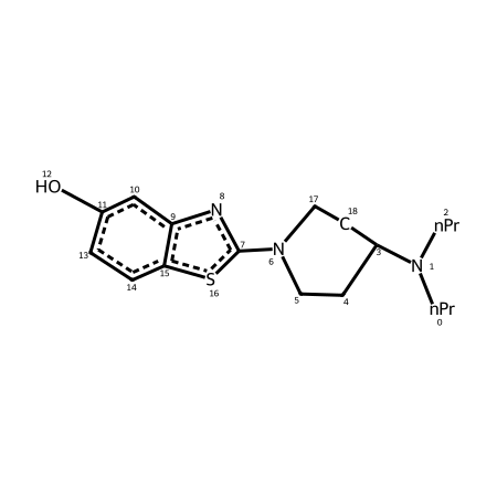 CCCN(CCC)C1CCN(c2nc3cc(O)ccc3s2)CC1